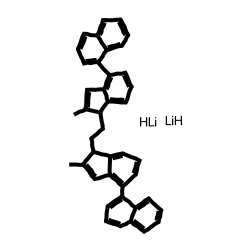 CC1=Cc2c(-c3cccc4ccccc34)cccc2C1CCC1C(C)=Cc2c(-c3cccc4ccccc34)cccc21.[LiH].[LiH]